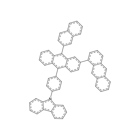 c1ccc2cc(-c3c4ccccc4c(-c4ccc(-n5c6ccccc6c6ccccc65)cc4)c4ccc(-c5cccc6cc7ccccc7cc56)cc34)ccc2c1